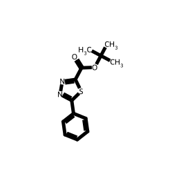 CC(C)(C)OC(=O)c1nnc(-c2ccccc2)s1